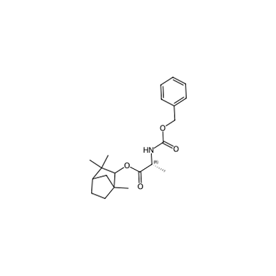 C[C@@H](NC(=O)OCc1ccccc1)C(=O)OC1C2(C)CCC(C2)C1(C)C